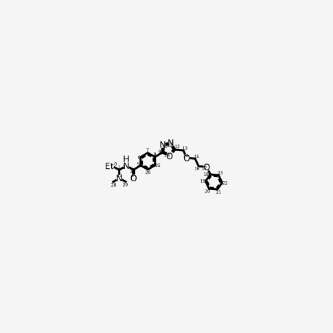 CCC(NC(=O)c1ccc(-c2nnc(COCCOc3ccccc3)o2)cc1)N(C)C